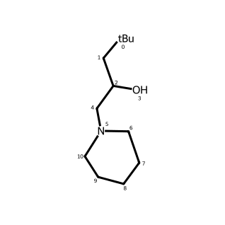 CC(C)(C)CC(O)CN1CCCCC1